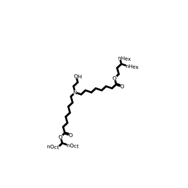 CCCCCCCCC(CCCCCCCC)OC(=O)CCCCCCCN(CCO)CCCCCCCC(=O)OCCC(CCCCCC)CCCCCC